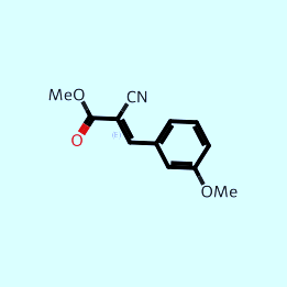 COC(=O)/C(C#N)=C/c1cccc(OC)c1